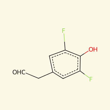 O=CCc1cc(F)c(O)c(F)c1